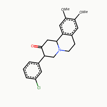 COc1cc2c(cc1OC)C1CC(=O)C(c3cccc(Cl)c3)CN1CC2